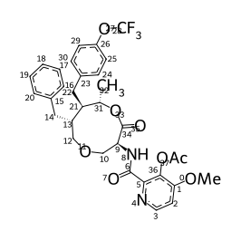 COc1ccnc(C(=O)N[C@H]2COC[C@H](Cc3ccccc3)[C@@H](Cc3ccc(OC(F)(F)F)cc3)[C@H](C)OC2=O)c1OC(C)=O